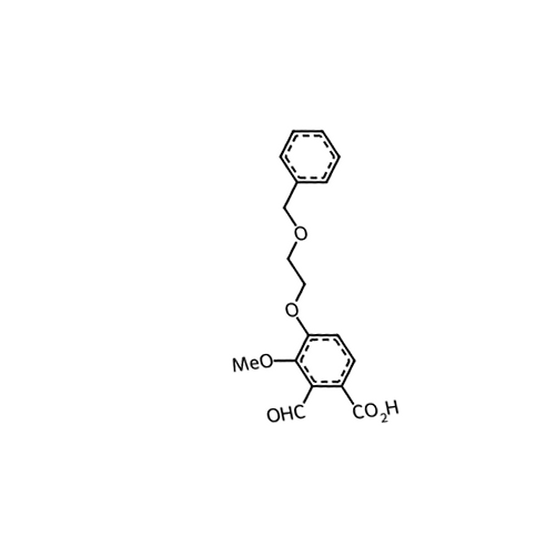 COc1c(OCCOCc2ccccc2)ccc(C(=O)O)c1C=O